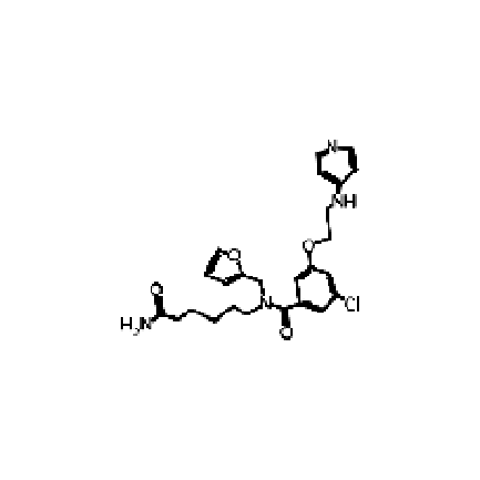 NC(=O)CCCCCN(Cc1ccco1)C(=O)c1cc(Cl)cc(OCCNc2ccncc2)c1